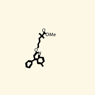 COC(=O)C(C)(C)CCCCOc1cc(-c2ccccc2)c2cc(C)ccc2n1